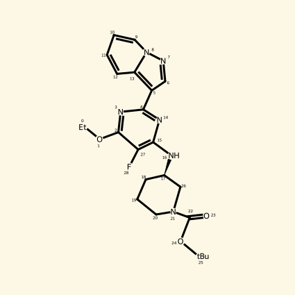 CCOc1nc(-c2cnn3ccccc23)nc(N[C@@H]2CCCN(C(=O)OC(C)(C)C)C2)c1F